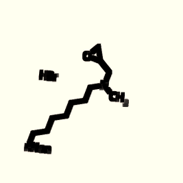 Br.CCCCCCCCCCCCCCCCN(C)CC1CO1